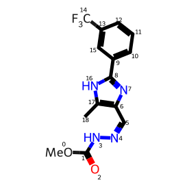 COC(=O)N/N=C\c1nc(-c2cccc(C(F)(F)F)c2)[nH]c1C